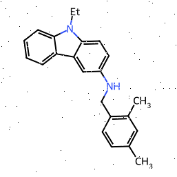 CCn1c2ccccc2c2cc(NCc3ccc(C)cc3C)ccc21